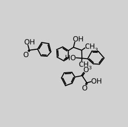 CC(C(O)c1ccccc1)C(C)(O)c1ccccc1.O=C(O)C(=O)c1ccccc1.O=C(O)c1ccccc1